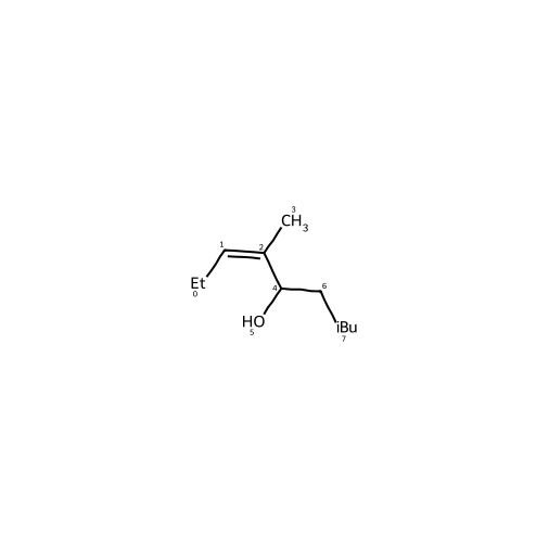 CCC=C(C)C(O)CC(C)CC